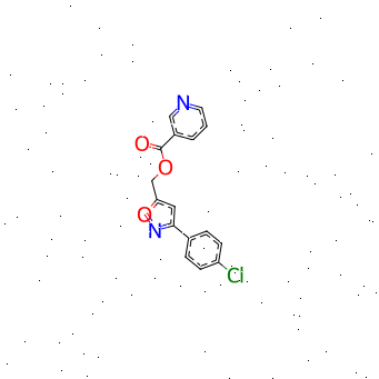 O=C(OCc1cc(-c2ccc(Cl)cc2)no1)c1cccnc1